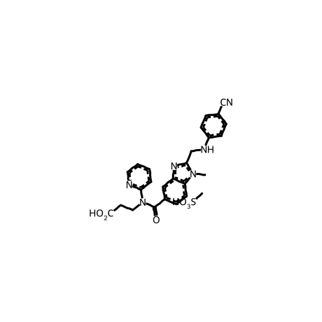 CS(=O)(=O)O.Cn1c(CNc2ccc(C#N)cc2)nc2cc(C(=O)N(CCC(=O)O)c3ccccn3)ccc21